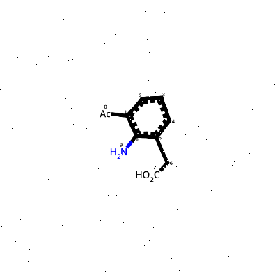 CC(=O)c1cccc(CC(=O)O)c1N